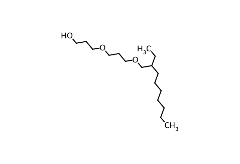 CCCCCCCC(CC)COCCCOCCCO